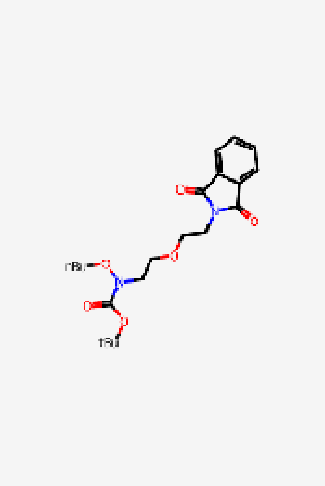 CCCCON(CCOCCN1C(=O)c2ccccc2C1=O)C(=O)OC(C)(C)C